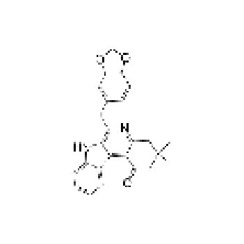 CC1(C)CC(=O)c2c(nc(Cc3ccc4c(c3)OCO4)c3[nH]c4ccccc4c23)C1